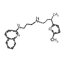 Cc1ccc(C(C)CCNCCCNc2ccc3ccccc3n2)o1